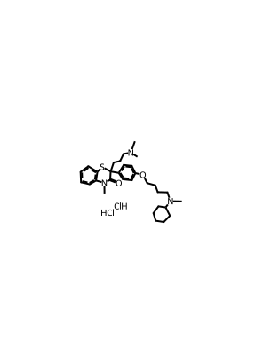 CN(C)CCCC1(c2ccc(OCCCCN(C)C3CCCCC3)cc2)Sc2ccccc2N(C)C1=O.Cl.Cl